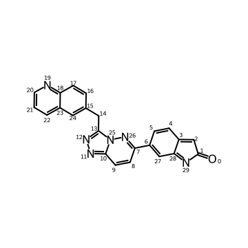 O=C1C=c2ccc(-c3ccc4nnc(Cc5ccc6ncccc6c5)n4n3)cc2=N1